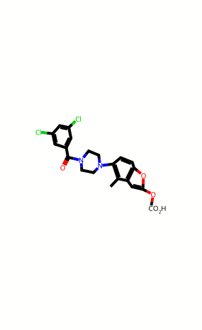 Cc1c(N2CCN(C(=O)c3cc(Cl)cc(Cl)c3)CC2)ccc2oc(OC(=O)O)cc12